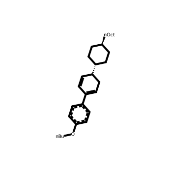 CCCCCCCC[C@H]1CC[C@H](C2C=CC(c3ccc(OCCCC)cc3)=CC2)CC1